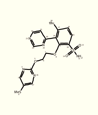 CSc1cnc(OCCOc2c(S(N)(=O)=O)ccc(C(C)(C)C)c2-c2ccncn2)nc1